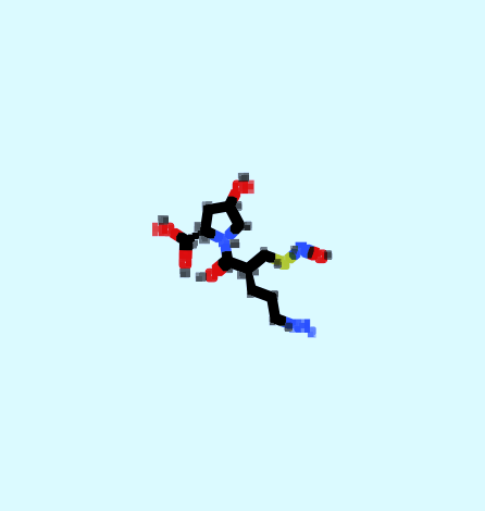 NCCC[C@H](CSN=O)C(=O)N1CC(O)C[C@H]1C(=O)O